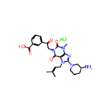 CC(C)=CCn1c(N2CCCC(N)C2)nc2c1c(=O)n(CC(=O)c1cccc(C(=O)O)c1)c(=O)n2C.Cl